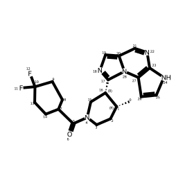 C[C@@H]1CCN(C(=O)C2CCC(F)(F)CC2)C[C@@H]1c1ncc2cnc3[nH]ccc3n12